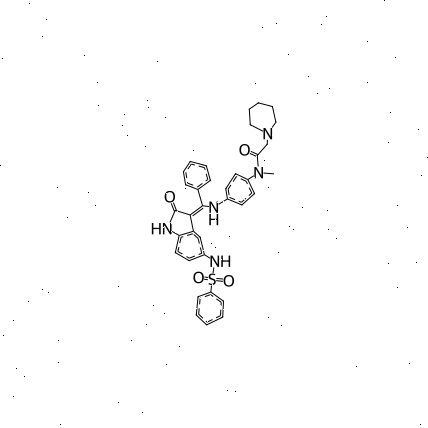 CN(C(=O)CN1CCCCC1)c1ccc(NC(=C2C(=O)Nc3ccc(NS(=O)(=O)c4ccccc4)cc32)c2ccccc2)cc1